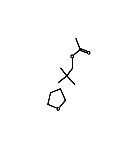 C1CCOC1.CC(=O)OCC(C)(C)C